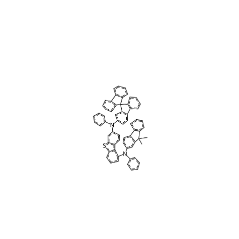 CC1(C)c2ccccc2-c2ccc(N(c3ccccc3)c3cccc4sc5cc(N(c6ccccc6)c6ccc7c(c6)C6(c8ccccc8-c8ccccc86)c6ccccc6-7)ccc5c34)cc21